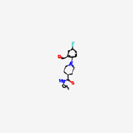 CNC(=O)C1CCN(c2ccc(F)cc2C=O)CC1